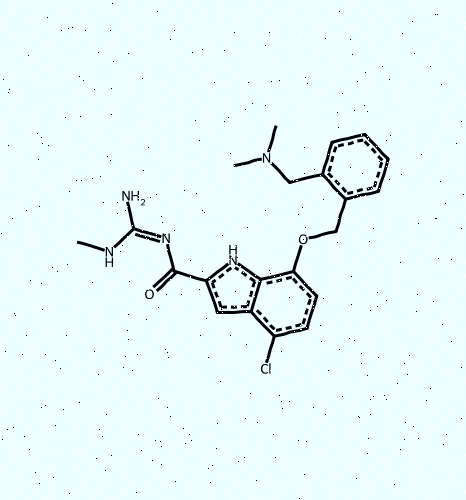 CNC(N)=NC(=O)c1cc2c(Cl)ccc(OCc3ccccc3CN(C)C)c2[nH]1